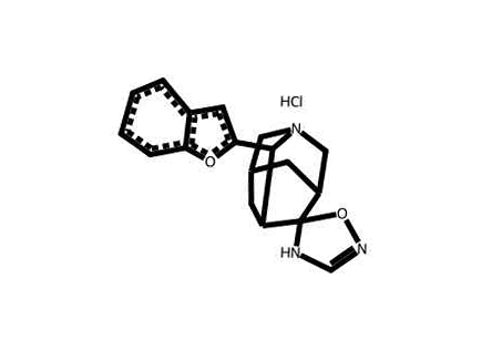 C1=NOC2(N1)C1CC3CC2C(c2cc4ccccc4o2)N(C3)C1.Cl